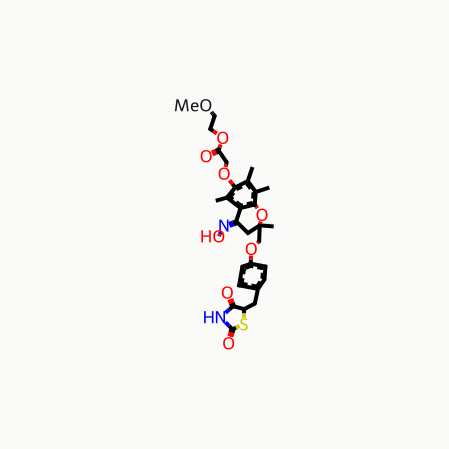 COCCOC(=O)COc1c(C)c(C)c2c(c1C)/C(=N/O)CC(C)(COc1ccc(CC3SC(=O)NC3=O)cc1)O2